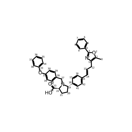 Cc1oc(-c2ccccc2)nc1C/C=C/c1ccc([C@@H]2CC[C@@H](C(=O)O)N2Cc2ccc(Oc3ccccc3)cc2)cc1